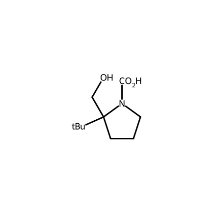 CC(C)(C)C1(CO)CCCN1C(=O)O